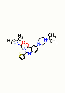 CC(C)NC(=O)Cn1c(-c2cccs2)nc2ccc(N3CCCN(C(C)C)CC3)cc2c1=O